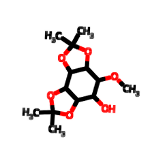 COC1C(O)C2OC(C)(C)OC2C2OC(C)(C)OC12